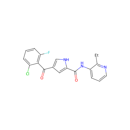 CCc1ncccc1NC(=O)c1cc(C(=O)c2c(F)cccc2Cl)c[nH]1